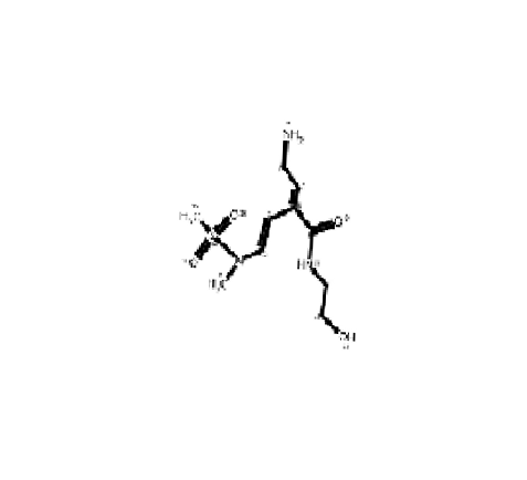 CN(C=C/C(=C\CN)C(=O)NCCO)S(C)(=O)=O